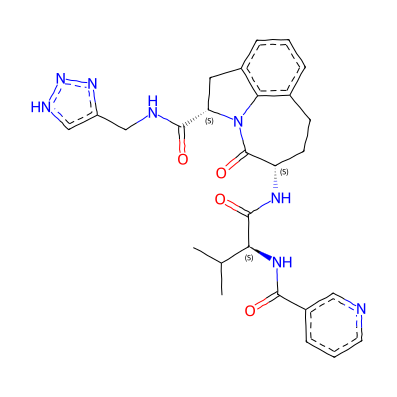 CC(C)[C@H](NC(=O)c1cccnc1)C(=O)N[C@H]1CCc2cccc3c2N(C1=O)[C@H](C(=O)NCc1c[nH]nn1)C3